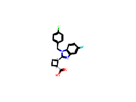 O=C(O)[C@@H]1CC[C@H]1c1nc2cc(F)ccc2n1Cc1ccc(Cl)cc1